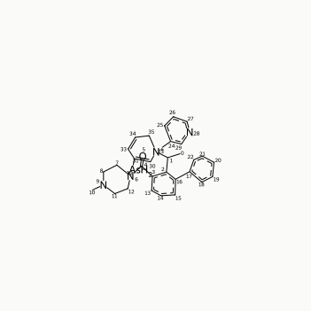 CC(c1c(C(=O)N2CCN(C)CC2)cccc1-c1ccccc1)[N+]1(c2cccnc2)C=C([AsH2])C=CC1